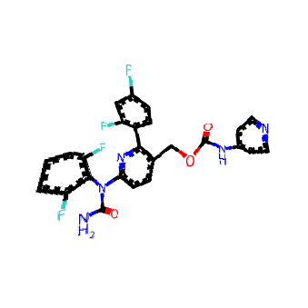 NC(=O)N(c1ccc(COC(=O)Nc2ccncc2)c(-c2ccc(F)cc2F)n1)c1c(F)cccc1F